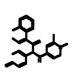 C=C/C=C\C(=C/C)C(NC1=CCN(C)C(C)=C1)C(=C)/C(=C/C)c1ccccc1C